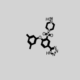 Cc1cc(C)cc(Oc2ccc(-c3nnn[nH]3)cc2S(=O)(=O)N2CCNCC2)c1.Cl